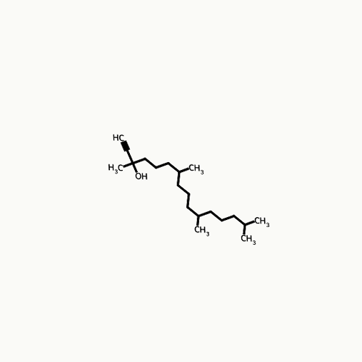 C#CC(C)(O)CCCC(C)CCCC(C)CCCC(C)C